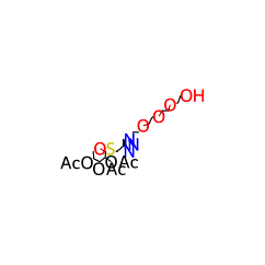 CC(=O)OC1COC(SCc2cn(CCOCCOCCOCCO)nn2)C(OC(C)=O)C1OC(C)=O